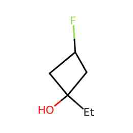 CCC1(O)CC(F)C1